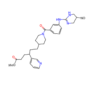 COC(=O)CCC(CCC1CCN(C(=O)c2cccc(NC3=NCC(N=O)CN3)c2)CC1)c1cccnc1